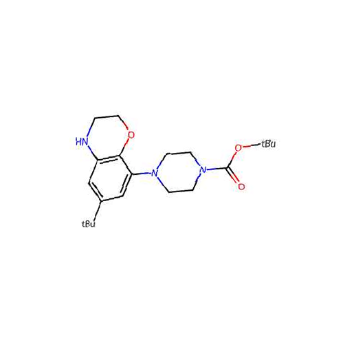 CC(C)(C)OC(=O)N1CCN(c2cc(C(C)(C)C)cc3c2OCCN3)CC1